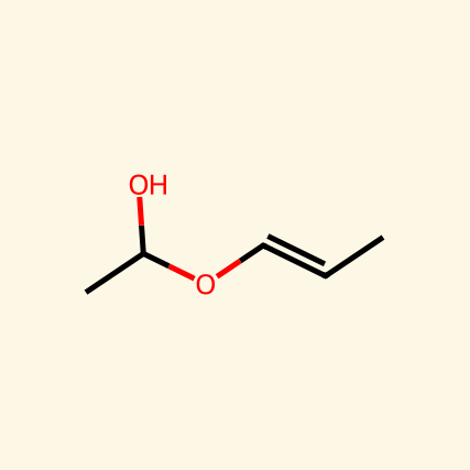 CC=COC(C)O